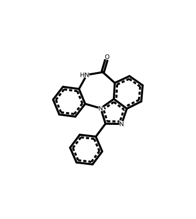 O=C1Nc2ccccc2-n2c(-c3ccccc3)nc3cccc1c32